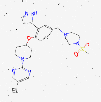 CCc1cnc(N2CCC(Oc3ccc(CN4CCN(S(C)(=O)=O)CC4)cc3-c3ccn[nH]3)CC2)nc1